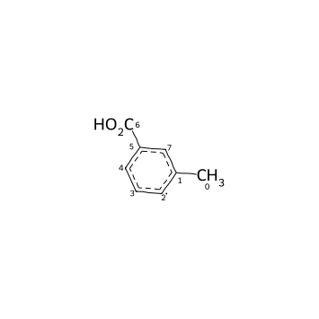 Cc1[c]ccc(C(=O)O)c1